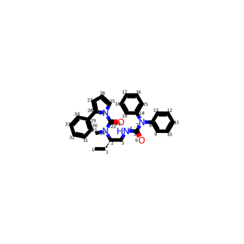 CC[C@@H](CNC(=O)N(c1ccccc1)c1ccccc1)N(C)C(=O)n1cccc1-c1ccccc1